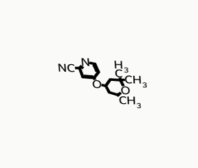 CC1CC(Oc2ccnc(C#N)c2)CC(C)(C)O1